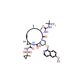 CCOc1ccc2c(O[C@@H]3C[C@H]4C(=O)N[C@]5(C(=O)NS(=O)(=O)C6(C)CC6)C[C@H]5/C=C\CC[C@@H](C)C[C@@H](C)[C@H](NC(=O)NC(C)(C)C(F)(F)F)C(=O)N4C3)nccc2c1